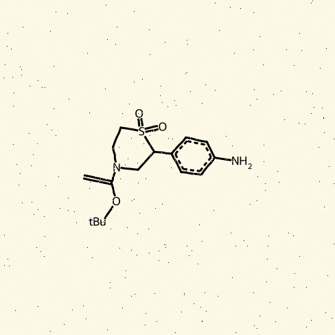 C=C(OC(C)(C)C)N1CCS(=O)(=O)C(c2ccc(N)cc2)C1